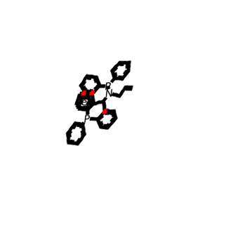 C=CCN(C(C=C)[C]12[CH]3[CH]4[CH]5[C]1(P(c1ccccc1)c1ccccc1)[Fe]43521678[CH]2[CH]1[CH]6[CH]7[CH]28)P(c1ccccc1)c1ccccc1